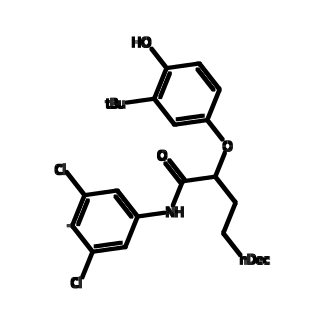 CCCCCCCCCCCCC(Oc1ccc(O)c(C(C)(C)C)c1)C(=O)Nc1cc(Cl)[c]c(Cl)c1